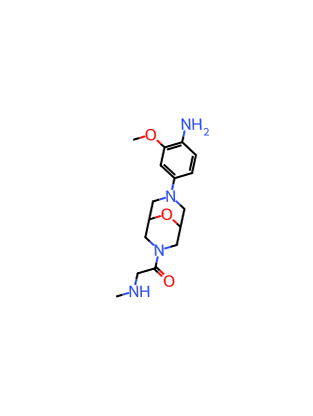 CNCC(=O)N1CC2CN(c3ccc(N)c(OC)c3)CC(C1)O2